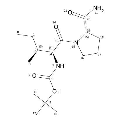 CC[C@H](C)[C@H](NC(=O)OC(C)(C)C)C(=O)N1CCC[C@H]1C(N)=O